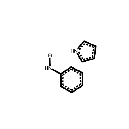 CCNc1ccccc1.c1cc[nH]c1